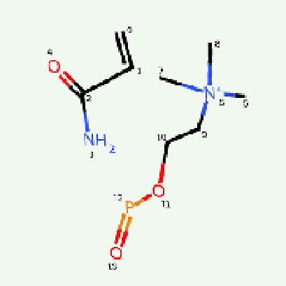 C=CC(N)=O.C[N+](C)(C)CCOP=O